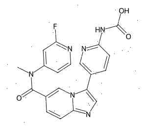 CN(C(=O)c1ccc2ncc(-c3ccc(NC(=O)O)nc3)n2c1)c1ccnc(F)c1